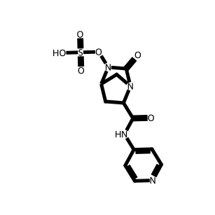 O=C(Nc1ccncc1)C1CC2CN1C(=O)N2OS(=O)(=O)O